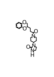 O=C(CCC1COc2ccccc2O1)N1CCC(N2CCNC2=O)CC1